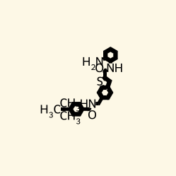 CC(C)(C)c1ccc(C(=O)NCc2ccc3cc(C(=O)Nc4ccccc4N)sc3c2)cc1